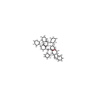 c1ccc(-c2ccc(N(c3cccc(-c4ccccc4-c4cccc5ccccc45)c3)c3ccccc3-c3cccc4c3sc3ccccc34)cc2)cc1